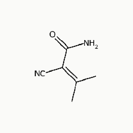 CC(C)=C(C#N)C(N)=O